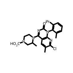 Cc1cc2c(N3CCN(C(=O)O)CC3C)nc(=O)n(-c3c(C)cccc3C(C)C)c2nc1Cl